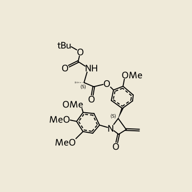 C=C1C(=O)N(c2cc(OC)c(OC)c(OC)c2)[C@H]1c1ccc(OC)c(OC(=O)[C@H](C)NC(=O)OC(C)(C)C)c1